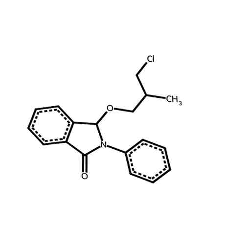 CC(CCl)COC1c2ccccc2C(=O)N1c1ccccc1